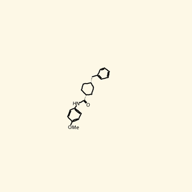 COc1ccc(NC(=O)[C@H]2CC[C@@H](Cc3ccccc3)CC2)cc1